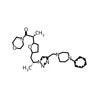 C[C@H](C(=O)N1CCOCC1)C1CCC(C[C@@H](C)n2cc(CN3CCN(c4ccccc4)CC3)nn2)O1